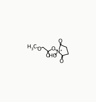 COCC(=O)O[N+]1(O)C(=O)CCC1=O